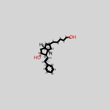 OCCCCCC1=C[C@H]2C[C@@H](O)[C@H](/C=C/c3ccccc3)[C@H]2C1